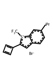 CC(C)c1ccc2cc(C3=CC=C3)[s+](C(F)(F)F)c2c1.[Br-]